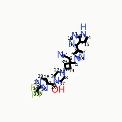 N#CCC1(Cn2cc(C3N=CN=C4NC=CC43)cn2)CC(N2CCN(C(O)c3ccnc(C(F)(F)F)n3)CC2)C1